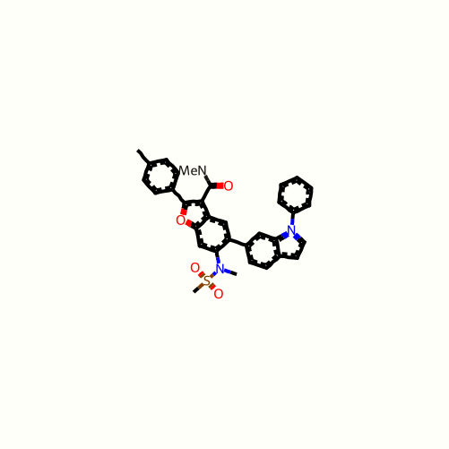 CNC(=O)c1c(-c2ccc(C)cc2)oc2cc(N(C)S(C)(=O)=O)c(-c3ccc4ccn(-c5ccccc5)c4c3)cc12